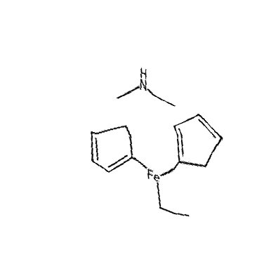 CNC.C[CH2][Fe]([C]1=CC=CC1)[C]1=CC=CC1